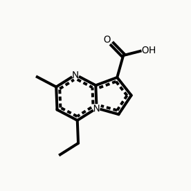 CCc1cc(C)nc2c(C(=O)O)ccn12